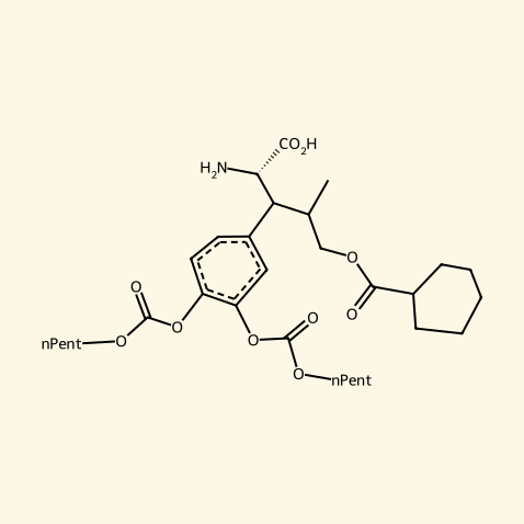 CCCCCOC(=O)Oc1ccc(C(C(C)COC(=O)C2CCCCC2)[C@H](N)C(=O)O)cc1OC(=O)OCCCCC